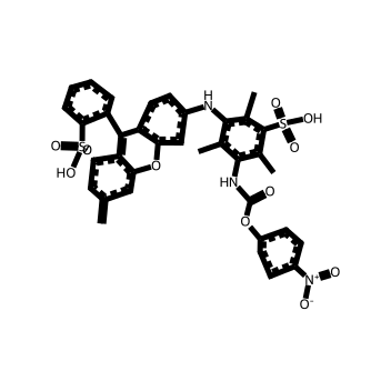 C=c1ccc2c(c1)Oc1cc(Nc3c(C)c(NC(=O)Oc4ccc([N+](=O)[O-])cc4)c(C)c(S(=O)(=O)O)c3C)ccc1C=2c1ccccc1S(=O)(=O)O